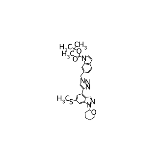 CSc1cc(-c2cn(Cc3ccc4ccn(C(=O)OC(C)(C)C)c4c3)nn2)c2cnn(C3CCCCO3)c2c1